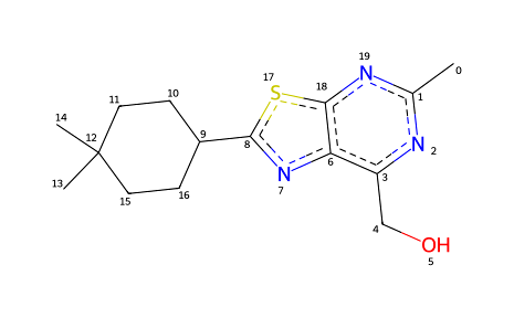 Cc1nc(CO)c2nc(C3CCC(C)(C)CC3)sc2n1